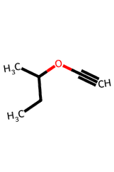 C#COC(C)CC